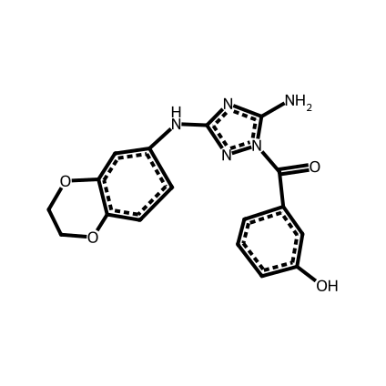 Nc1nc(Nc2ccc3c(c2)OCCO3)nn1C(=O)c1cccc(O)c1